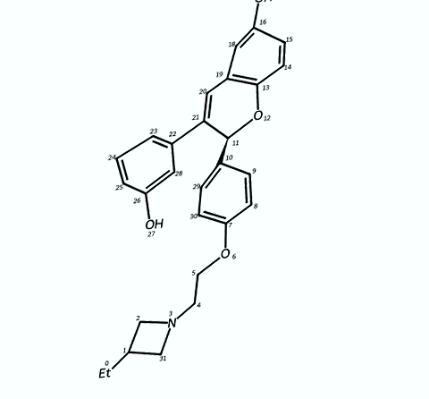 CCC1CN(CCOc2ccc([C@@H]3Oc4ccc(O)cc4C=C3c3cccc(O)c3)cc2)C1